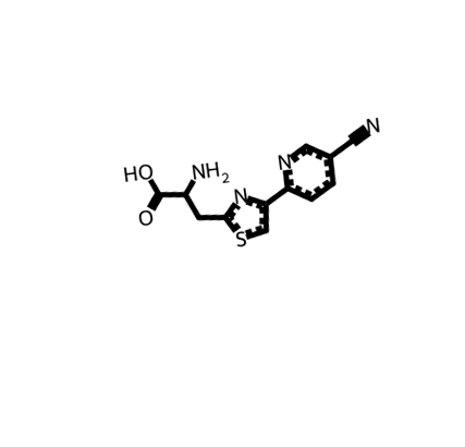 N#Cc1ccc(-c2csc(CC(N)C(=O)O)n2)nc1